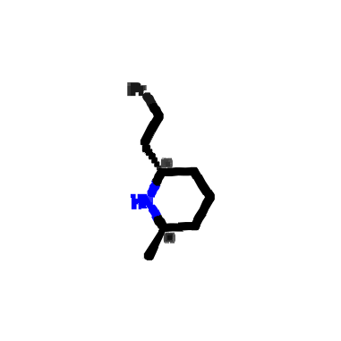 CC(C)CC[C@@H]1CCC[C@@H](C)N1